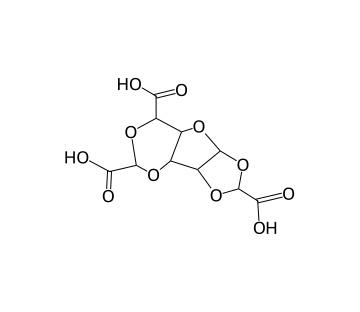 O=C(O)C1OC2OC3C(C(=O)O)OC(C(=O)O)OC3C2O1